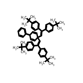 CC(C)(C)c1ccc(C(=CC2(C=C(c3ccc(C(C)(C)C)cc3)c3ccc(C(C)(C)C)cc3)C=CC(c3ccccc3)C=C2)c2ccc(C(C)(C)C)cc2)cc1